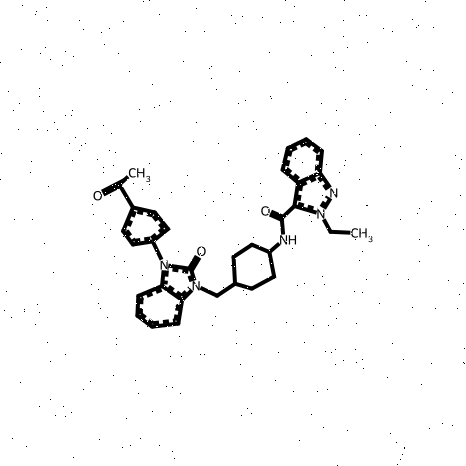 CCn1nc2ccccc2c1C(=O)NC1CCC(Cn2c(=O)n(-c3ccc(C(C)=O)cc3)c3ccccc32)CC1